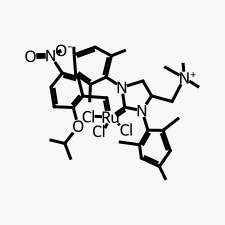 Cc1cc(C)c(N2CC(C[N+](C)(C)C)N(c3c(C)cc(C)cc3C)[C]2=[Ru]([Cl])([Cl])([Cl])=[CH]c2cc([N+](=O)[O-])ccc2OC(C)C)c(C)c1